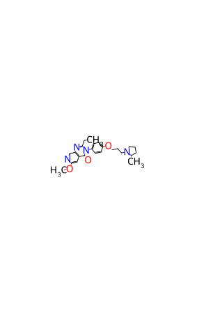 CCc1nc2cnc(OC)cc2c(=O)n1-c1ccc(OCCCN2CCC[C@@H]2C)cc1